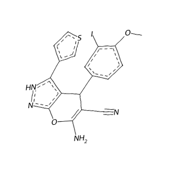 COc1ccc(C2C(C#N)=C(N)Oc3n[nH]c(-c4ccsc4)c32)cc1I